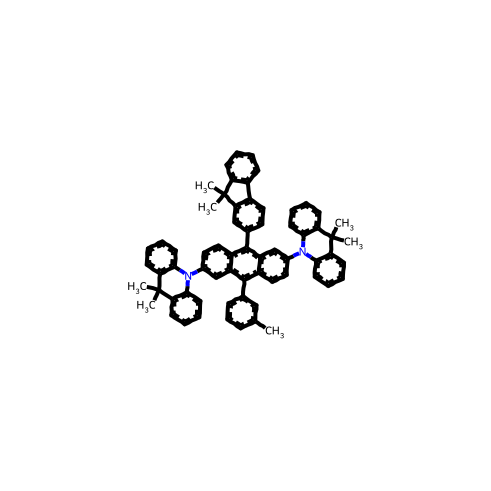 Cc1cccc(-c2c3ccc(N4c5ccccc5C(C)(C)c5ccccc54)cc3c(-c3ccc4c(c3)C(C)(C)c3ccccc3-4)c3ccc(N4c5ccccc5C(C)(C)c5ccccc54)cc23)c1